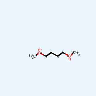 [CH2-][OH+]CCCC[OH+][CH2-]